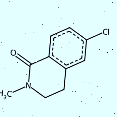 CN1CCc2cc(Cl)ccc2C1=O